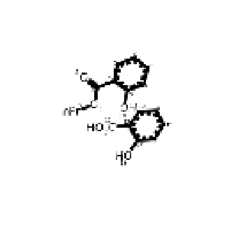 CCCOC(=O)c1ccccc1O.O=C(O)c1ccccc1O